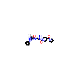 O=C(NCCNC(=O)N1CCC(C(=O)N2CCCC2)CC1)c1cn(-c2ccccc2)nc1C(F)(F)F